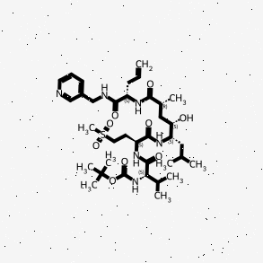 C=CC[C@H](NC(=O)[C@H](C)C[C@H](O)[C@H](CC(C)C)NC(=O)[C@H](CCS(C)(=O)=O)NC(=O)[C@@H](NC(=O)OC(C)(C)C)C(C)C)C(=O)NCc1cccnc1